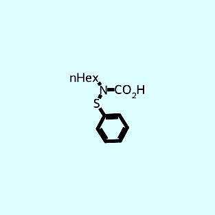 CCCCCCN(Sc1ccccc1)C(=O)O